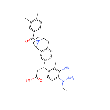 CCN(N)c1ccc(C(CC(=O)O)c2ccc3c(c2)C2CCC(C3)N2C(=O)c2ccc(C)c(C)c2)c(C)c1N